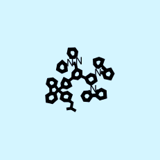 CC(C)Cc1ccc(C2(c3ccc(-c4cc(-c5cc(-n6c7ccccc7c7ccccc76)cc(-n6c7ccccc7c7ccccc76)c5)cc(-c5nc6ccccc6n5-c5ccccc5)c4)cc3)c3ccccc3-c3ccccc32)cc1